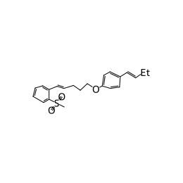 CC/C=C/c1ccc(OCCC/C=C/c2ccccc2S(C)(=O)=O)cc1